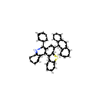 c1ccc(-c2nc3ccccc3c3c2cc(-c2c4ccccc4cc4ccccc24)c2sc4ccccc4c23)cc1